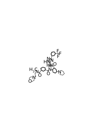 CN(CCN1CCOCC1)C(=O)c1cccc(C(=O)Nc2ccc(N3CCCCC3)cc2C(=O)Nc2nc(-c3cccc(C(F)(F)F)c3)n[nH]2)c1